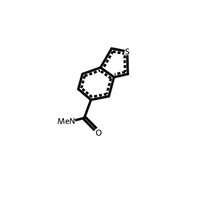 CNC(=O)c1ccc2cscc2c1